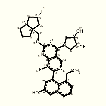 CCc1cccc2cc(O)cc(-c3ncc4c(N5C[C@@H](O)[C@H](F)C5)nc(OC[C@@]56CCCN5C[C@H](F)C6)nc4c3F)c12